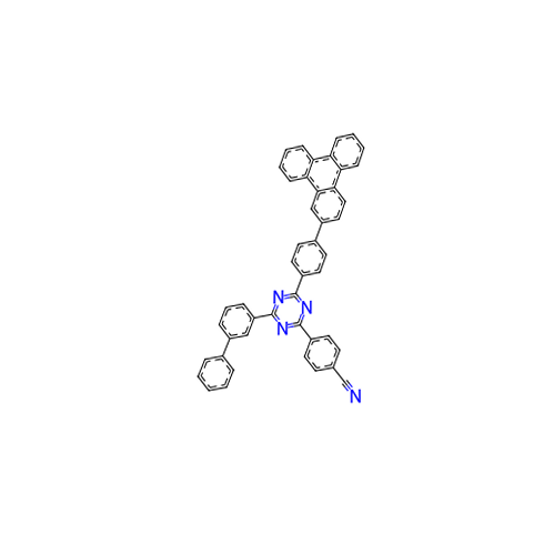 N#Cc1ccc(-c2nc(-c3ccc(-c4ccc5c6ccccc6c6ccccc6c5c4)cc3)nc(-c3cccc(-c4ccccc4)c3)n2)cc1